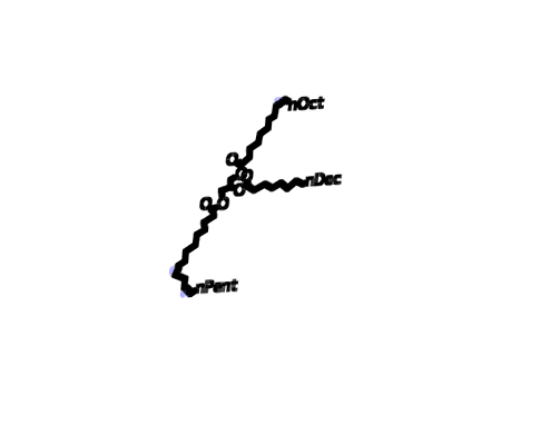 CCCCC/C=C\C/C=C\CCCCCCCC(=O)OCC(COC(=O)CCCCCCC/C=C\CCCCCCCC)OC(=O)CCCCCCCCCCCCCCCCC